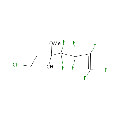 COC(C)(CCCl)C(F)(F)C(F)(F)C(F)=C(F)F